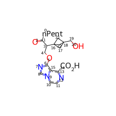 CCCCCC(=O)C(COc1ncn2ccnc(C(=O)O)c12)C12CC(CO)(C1)C2